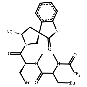 CC(C)C[C@@H](C(=O)N1C[C@]2(C[C@H]1C#N)C(=O)Nc1ccccc12)N(C)C(=O)C(CC(C)(C)C)N(C)C(=O)C(F)(F)F